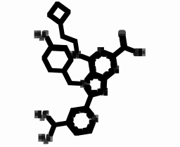 CC1=CCC(Cn2c(-c3cc(C(C)C)ccn3)nc3nc(C(=O)O)nc(NCCC4CCC4)c32)CC1